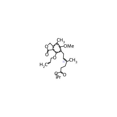 [CH2]C([CH2])OC(=O)CC/C(C)=C/Cc1c(OC)c(C)c2c(c1OCC=C)C(=O)OC2